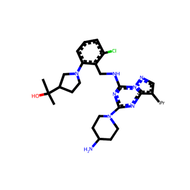 CC(C)c1cnn2c(NCc3c(Cl)cccc3N3CCC(C(C)(C)O)C3)nc(N3CCC(N)CC3)nc12